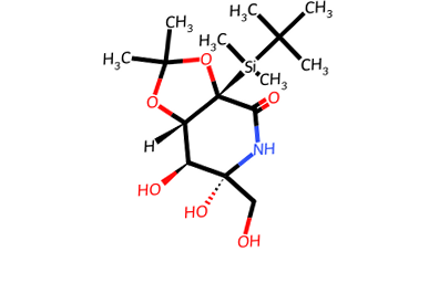 CC1(C)O[C@H]2[C@H](O)[C@](O)(CO)NC(=O)[C@@]2([Si](C)(C)C(C)(C)C)O1